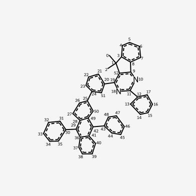 CC1(C)c2ccccc2-c2nc(-c3ccccc3)nc(-c3cccc(-c4ccc5c(-c6ccccc6)c6ccccc6c(-c6ccccc6)c5c4)c3)c21